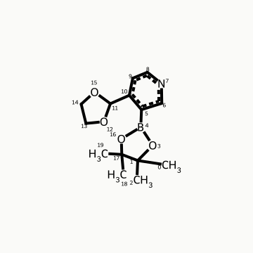 CC1(C)OB(c2cnccc2C2OCCO2)OC1(C)C